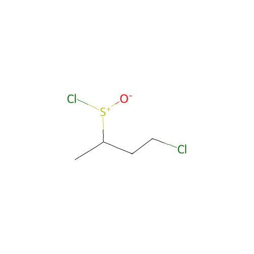 CC(CCCl)[S+]([O-])Cl